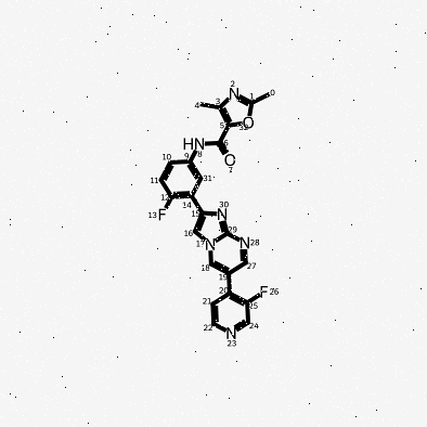 Cc1nc(C)c(C(=O)Nc2ccc(F)c(-c3cn4cc(-c5ccncc5F)cnc4n3)c2)o1